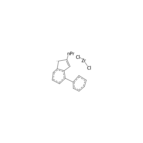 CCCC1=Cc2c(cccc2-c2ccccc2)[CH]1.[Cl][Zr][Cl]